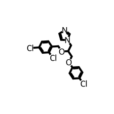 Clc1ccc(OCC(Cn2ccnc2)OCc2ccc(Cl)cc2Cl)cc1